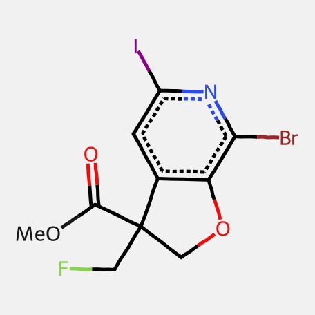 COC(=O)C1(CF)COc2c1cc(I)nc2Br